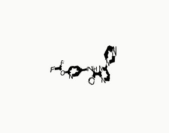 O=C(Nc1ccc(OC(F)F)nc1)c1nccc(-n2ccnc2)n1